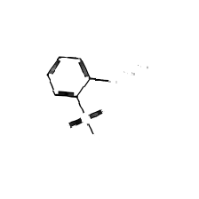 O=S(=O)(O)c1ccccc1O.[NaH].[NaH]